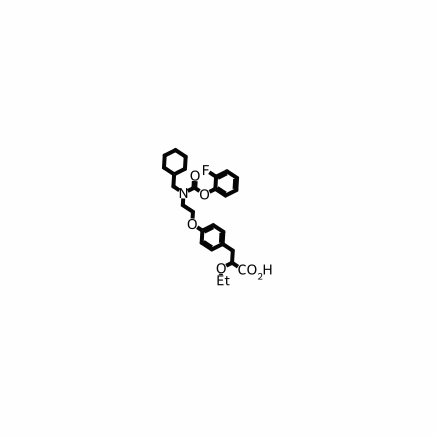 CCOC(Cc1ccc(OCCN(CC2CCCCC2)C(=O)Oc2ccccc2F)cc1)C(=O)O